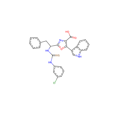 O=C(O)c1nc(C(Cc2ccccc2)NC(=S)Nc2cccc(Cl)c2)oc1-c1c[nH]c2ccccc12